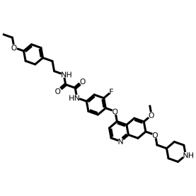 CCOC1=CC=C(CCNC(=O)C(=O)Nc2ccc(Oc3ccnc4c3C=C(OC)C(OCC3CCNCC3)C4)c(F)c2)CC1